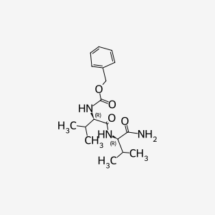 CC(C)[C@@H](NC(=O)[C@H](NC(=O)OCc1ccccc1)C(C)C)C(N)=O